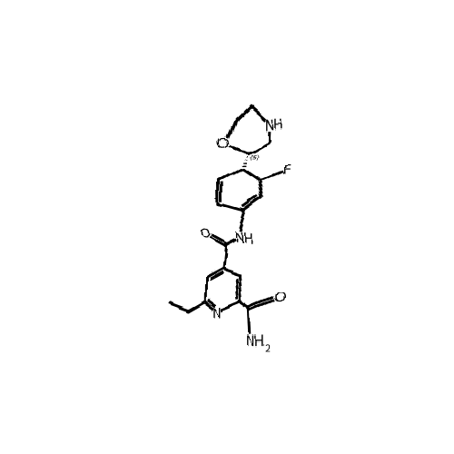 CCc1cc(C(=O)NC2=CC(F)C([C@H]3CNCCO3)C=C2)cc(C(N)=O)n1